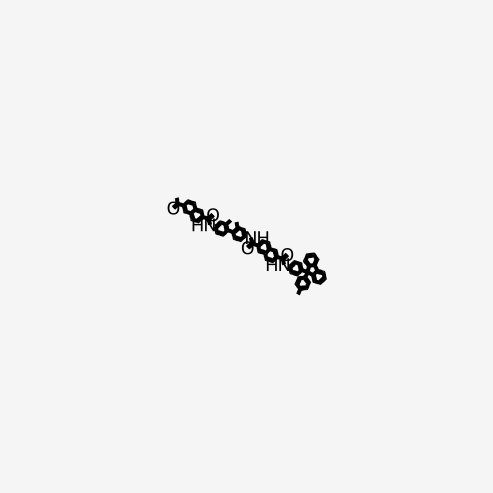 CC(=O)c1ccc2cc(C(=O)Nc3ccc(-c4ccc(NC(=O)c5ccc6cc(C(=O)Nc7ccc(C8(c9ccc(C)cc9)c9ccccc9-c9ccccc98)cc7)ccc6c5)cc4C)c(C)c3)ccc2c1